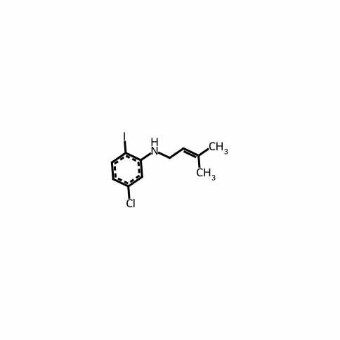 CC(C)=CCNc1cc(Cl)ccc1I